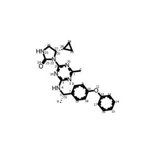 Cc1nc(N[C@@H](C)c2ccc(Oc3ccccc3)cc2)nc(N2C(=O)NC[C@@H]2C2CC2)n1